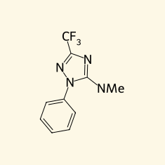 CNc1nc(C(F)(F)F)nn1-c1ccccc1